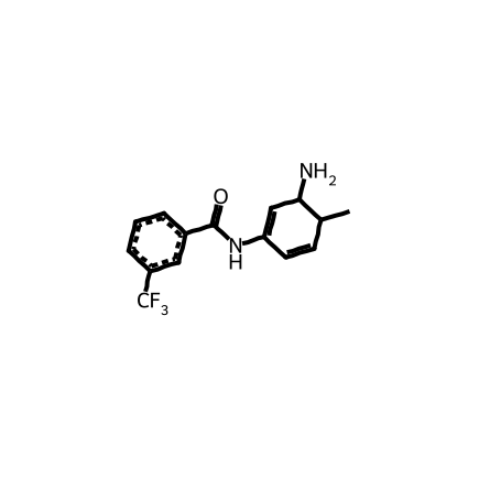 CC1C=CC(NC(=O)c2cccc(C(F)(F)F)c2)=CC1N